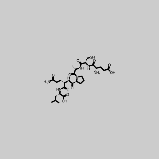 CC(C)C[C@H](NC(=O)[C@H](CCC(N)=O)NC(=O)[C@@H]1CCCN1C(=O)[C@H](C)NC(=O)[C@H](CS)NC(=O)[C@@H](N)CCC(=O)O)C(=O)O